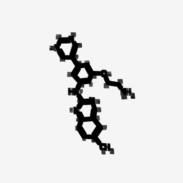 Cc1ccc2nc(Nc3cc(OCCN)cc(-c4cncnc4)c3)ncc2c1